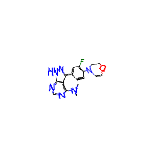 CN(C)c1ncnc2[nH]nc(-c3ccc(N4CCOCC4)c(F)c3)c12